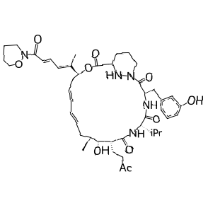 CC(=O)CC[C@H]1C(=O)N[C@@H](C(C)C)C(=O)NC(Cc2cccc(O)c2)C(=O)N2CCCC(N2)C(=O)O[C@H](/C(C)=C/C=C/C(=O)N2CCCCO2)C/C=C/C=C/C[C@H](C)[C@H]1O